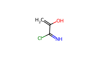 C=C(O)C(=N)Cl